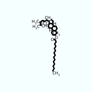 CCCCCCCCCCCCCCCC(=O)O[C@H]1CC[C@@]2(C)C(CC=C3[C@@H]4CC[C@H]([C@H](C)C=C[C@H](C)C(C)C)[C@@]4(C)CC[C@@H]32)C1